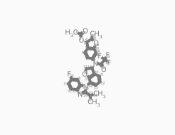 CC(=O)O[C@H]1c2ccc(N(C(=O)C(F)(F)F)[C@@H]3COc4c3cccc4-n3c(C(C)C)nc4ccc(F)cc43)cc2OC1C